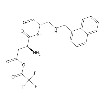 N[C@@H](CC(=O)OC(=O)C(F)(F)F)C(=O)N[C@H](C=O)CNCc1cccc2ccccc12